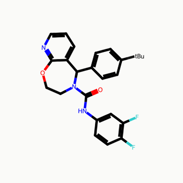 CC(C)(C)c1ccc(C2c3cccnc3OCCN2C(=O)Nc2ccc(F)c(F)c2)cc1